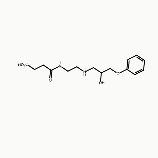 O=C(O)CCC(=O)NCCNCC(O)COc1ccccc1